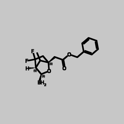 B[C@@H]1O[C@@]2(CC(=O)OCc3ccccc3)CC(F)(F)[C@H]1C2C